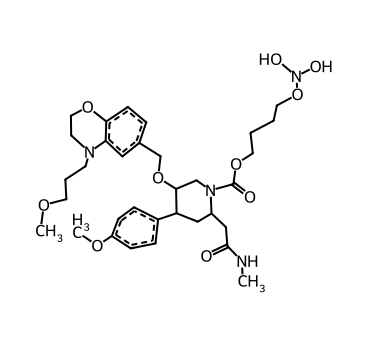 CNC(=O)CC1CC(c2ccc(OC)cc2)C(OCc2ccc3c(c2)N(CCCOC)CCO3)CN1C(=O)OCCCCON(O)O